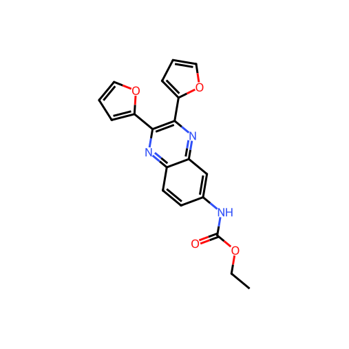 CCOC(=O)Nc1ccc2nc(-c3ccco3)c(-c3ccco3)nc2c1